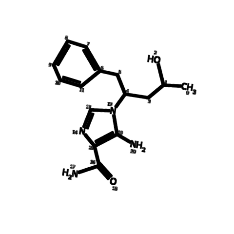 CC(O)CC(Cc1ccccc1)n1cnc(C(N)=O)c1N